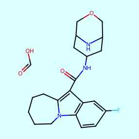 O=C(NC1CC2COCC(C1)N2)c1c2n(c3ccc(F)cc13)CCCCC2.O=CO